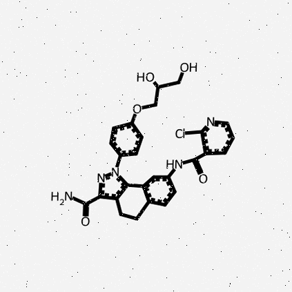 NC(=O)c1nn(-c2ccc(OCC(O)CO)cc2)c2c1CCc1ccc(NC(=O)c3cccnc3Cl)cc1-2